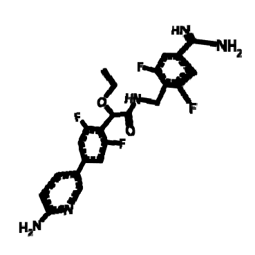 CCOC(C(=O)NCc1c(F)cc(C(=N)N)cc1F)c1c(F)cc(-c2ccc(N)nc2)cc1F